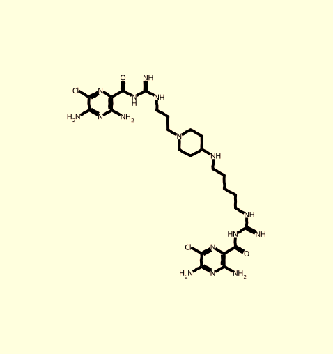 N=C(NCCCCCNC1CCN(CCCNC(=N)NC(=O)c2nc(Cl)c(N)nc2N)CC1)NC(=O)c1nc(Cl)c(N)nc1N